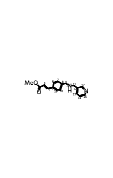 COC(=O)C=Cc1ccc(CNCc2cccnc2)cc1